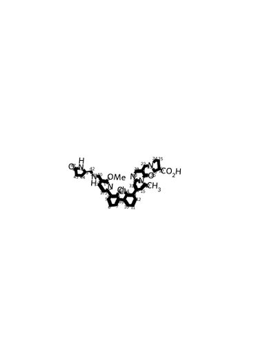 COc1nc(-c2cccc(-c3cccc(-c4cc(C)n5c(=O)c(CN6CC[C@H](C(=O)O)C6)cnc5c4)c3Cl)c2Cl)ccc1CNC[C@H]1CCC(=O)N1